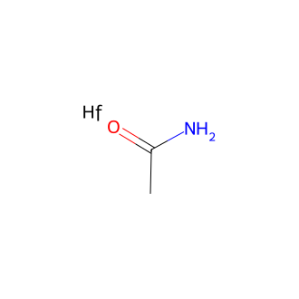 CC(N)=O.[Hf]